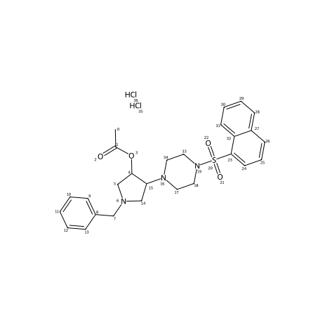 CC(=O)OC1CN(Cc2ccccc2)CC1N1CCN(S(=O)(=O)c2cccc3ccccc23)CC1.Cl.Cl